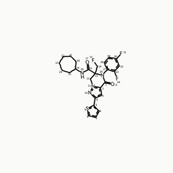 O=C1c2cc(-c3cccs3)nn2CC(CF)(C(=O)NC2CCCCCC2)N1c1ccc(F)cc1F